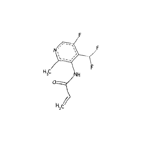 C=CC(=O)Nc1c(C)ncc(F)c1C(F)F